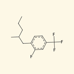 CCCC(C)Cc1ccc(C(F)(F)F)cc1F